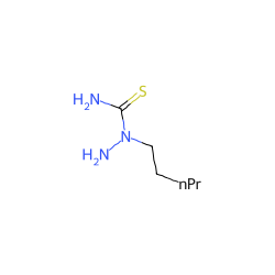 CCCCCN(N)C(N)=S